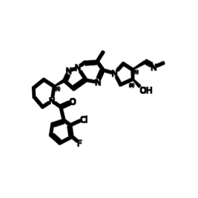 CN=C[C@@H]1CN(c2nc3cc([C@@H]4CCCCN4C(=O)c4cccc(F)c4Cl)nn3cc2C)C[C@@H]1O